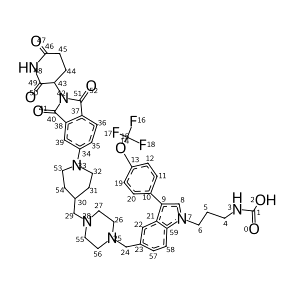 O=C(O)NCCCn1cc(-c2ccc(OC(F)(F)F)cc2)c2cc(CN3CCN(CC4CCN(c5ccc6c(c5)C(=O)N(C5CCC(=O)NC5=O)C6=O)CC4)CC3)ccc21